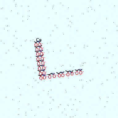 CC(=O)/C=C(/C)[O-].CC(=O)/C=C(/C)[O-].CC(=O)/C=C(/C)[O-].CC(=O)/C=C(/C)[O-].CC(=O)/C=C(/C)[O-].CC(=O)/C=C(/C)[O-].CC(=O)/C=C(/C)[O-].CC(=O)/C=C(/C)[O-].CC(=O)/C=C(/C)[O-].CC(=O)/C=C(/C)[O-].CC(=O)/C=C(/C)[O-].CC(=O)/C=C(/C)[O-].[Ce]